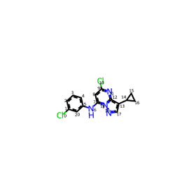 Clc1cccc(Nc2cc(Cl)nc3c(C4CC4)cnn23)c1